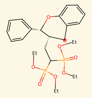 CCOP(=O)(OCC)C(C[C@H]1C(=O)c2ccccc2O[C@H]1c1ccccc1)P(=O)(OCC)OCC